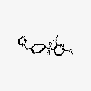 COc1ccc(S(=O)(=O)c2ccc(Cn3ccnc3)cc2)c(OC)n1